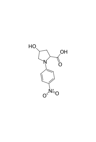 O=C(O)C1CC(O)CN1c1ccc([N+](=O)[O-])cc1